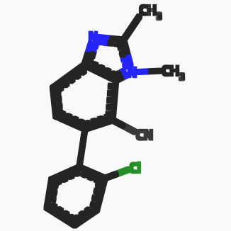 Cc1nc2ccc(-c3ccccc3Cl)c(C#N)c2n1C